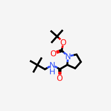 CC(C)(C)CNC(=O)C1CCCN1C(=O)OC(C)(C)C